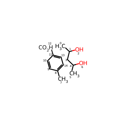 CC(O)CC(C)O.Cc1ccc(C(=O)O)cc1